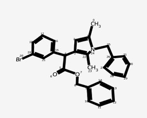 Cc1cc(C(C(=O)OCc2ccccc2)c2cccc(Br)c2)c(C)n1Cc1ccccc1